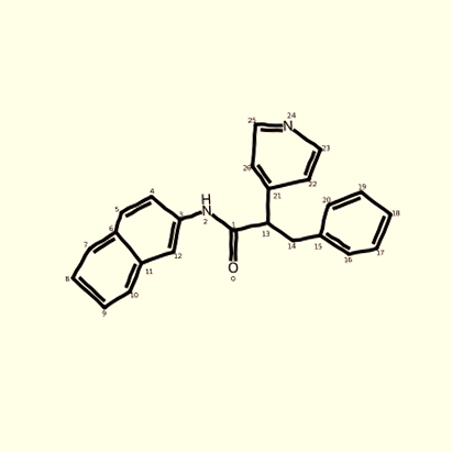 O=C(Nc1ccc2ccccc2c1)C(Cc1ccccc1)c1ccncc1